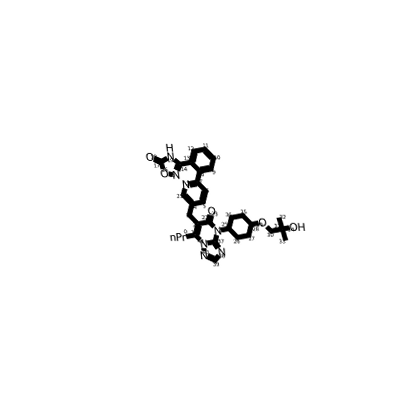 CCCc1c(Cc2ccc(-c3ccccc3-c3noc(=O)[nH]3)nc2)c(=O)n(C2CCC(OCC(C)(C)O)CC2)c2ncnn12